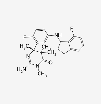 CN1C(=O)C(C)(C)[C@@](C)(c2cc(NC3CCc4cccc(F)c43)ccc2F)N=C1N